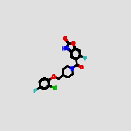 O=C(c1cc2[nH]c(=O)oc2cc1F)N1CCC(COc2ccc(F)cc2Cl)CC1